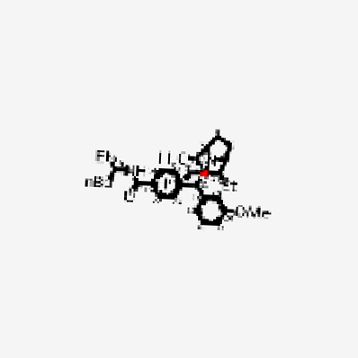 C=CCN1C2CCC1I(C)N(C(c1ccc(C(=O)NC(CC)CCCC)cc1)c1cccc(OC)c1)C2CC